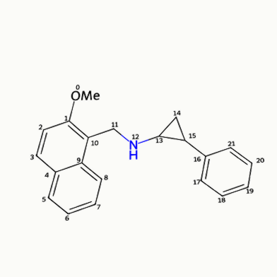 COc1ccc2ccccc2c1CNC1CC1c1ccccc1